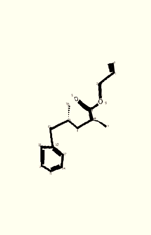 C=CCOC(=O)[C@@H](C)C[C@@H](C)Cc1ccccc1